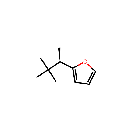 C[C@@H](c1ccco1)C(C)(C)C